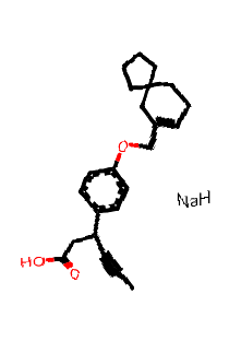 CC#CC(CC(=O)O)c1ccc(OCC2=CCCC3(CCCC3)C2)cc1.[NaH]